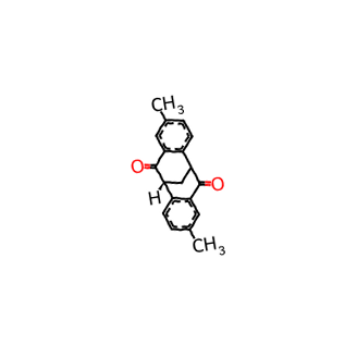 Cc1ccc2c(c1)C(=O)[C@@H]1CC2C(=O)c2cc(C)ccc21